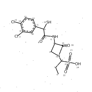 CCC(N1CC(NC(=O)C(S)c2ccc(Cl)c(Cl)c2)C1=O)S(=O)(=O)O